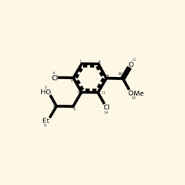 CCC(O)Cc1c(Cl)ccc(C(=O)OC)c1Cl